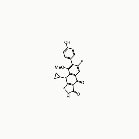 COc1c(-c2ccc(O)cc2)c(F)cc2c(=O)c3c(=O)[nH]sc3n(C3CC3)c12